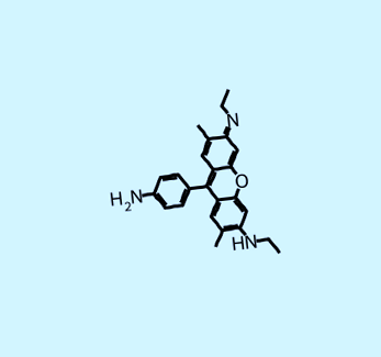 CC/N=c1/cc2oc3cc(NCC)c(C)cc3c(-c3ccc(N)cc3)c-2cc1C